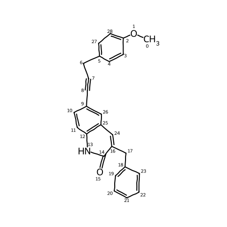 COc1ccc(CC#Cc2ccc3[nH]c(=O)c(Cc4ccccc4)cc3c2)cc1